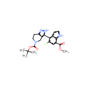 COC(=O)c1cc(F)c(-c2[nH]nc3c2CN(C(=O)OC(C)(C)C)CC3)c2cc[nH]c12